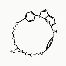 OC1CCCCOc2ccc(cc2)-n2cnc3cnc(nc32)Nc2ccc(cc2)OCCCN1